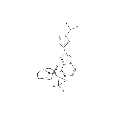 O=C(C1CC1(F)F)N1C2CCC1CN(c1ncnn3cc(-c4cnn(C(F)F)c4)cc13)C2